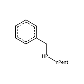 CCCCCPCc1ccccc1